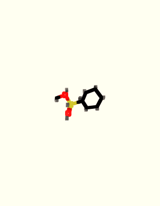 COS(=O)C1CCCCC1